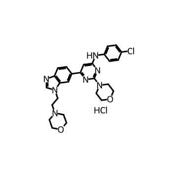 Cl.Clc1ccc(Nc2cc(-c3ccc4ncn(CCN5CCOCC5)c4c3)nc(N3CCOCC3)n2)cc1